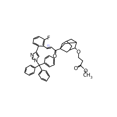 COC(=O)CCOC1C2CC3CC1CC(C(=O)/C=C/c1c(F)cccc1-c1cn(C(c4ccccc4)(c4ccccc4)c4ccccc4)cn1)(C3)C2